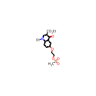 CCOC(=O)c1cn(CC)c2ccc(OCCOS(C)(=O)=O)cc2c1=O